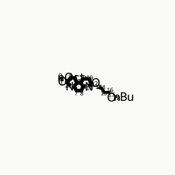 CCCCCCCCOc1ccc2c(ccc3nc(OCCCCOCCCC)ccc32)n1